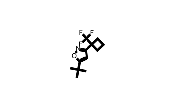 CC(C)(C)c1cc(C2(C(F)(F)F)CCC2)no1